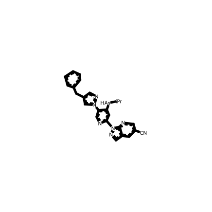 CC(C)[AsH]c1cc(-n2ncc3cc(C#N)cnc32)ncc1-n1cc(Cc2ccccc2)cn1